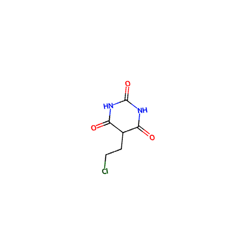 O=C1NC(=O)C(CCCl)C(=O)N1